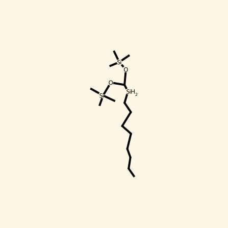 CCCCCCCC[SiH2]C(O[Si](C)(C)C)O[Si](C)(C)C